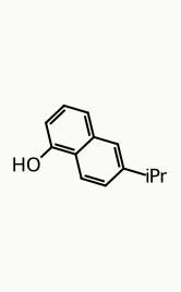 CC(C)c1ccc2c(O)cccc2c1